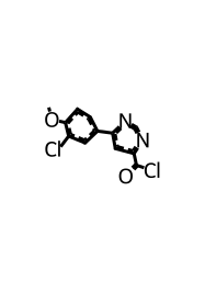 COc1ccc(-c2cc(C(=O)Cl)ncn2)cc1Cl